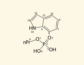 CCCOP(=O)(O)O.c1ccc2[nH]ccc2c1